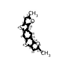 Cc1cc2sc3cc4sc5cc(C)oc5c4cc3c2o1